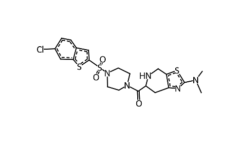 CN(C)c1nc2c(s1)CNC(C(=O)N1CCN(S(=O)(=O)c3cc4ccc(Cl)cc4s3)CC1)C2